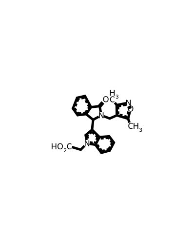 Cc1noc(C)c1CN1C(=O)c2ccccc2C1c1cn(CC(=O)O)c2ccccc12